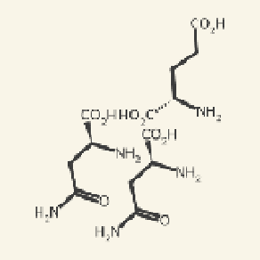 NC(=O)C[C@H](N)C(=O)O.NC(=O)C[C@H](N)C(=O)O.N[C@@H](CCC(=O)O)C(=O)O